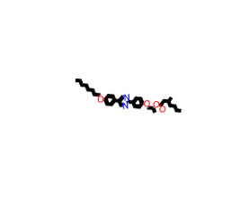 CCCCCCCCOc1ccc(-c2cnc(-c3ccc(OCC(C)OC(=O)CC(C)CCCC)cc3)nc2)cc1